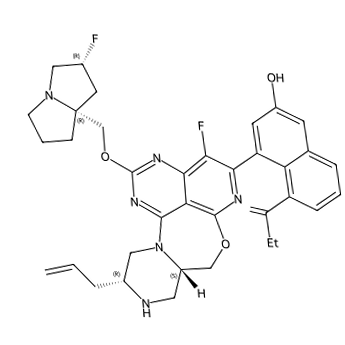 C=CC[C@@H]1CN2c3nc(OC[C@]45CCCN4C[C@H](F)C5)nc4c(F)c(-c5cc(O)cc6cccc(C(=C)CC)c56)nc(c34)OC[C@@H]2CN1